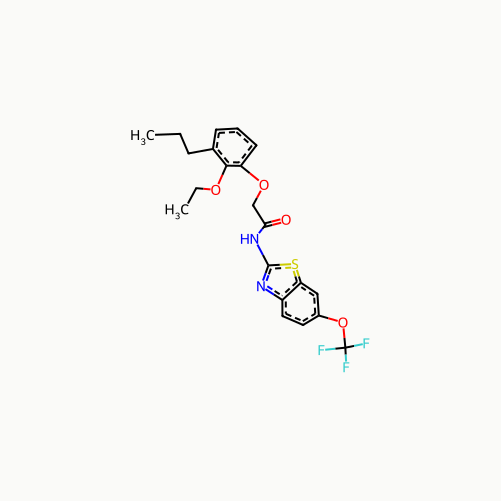 CCCc1cccc(OCC(=O)Nc2nc3ccc(OC(F)(F)F)cc3s2)c1OCC